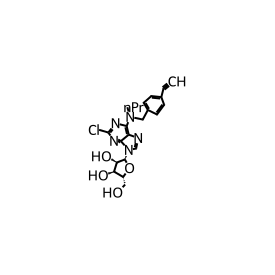 C#Cc1ccc(CN(CCC)c2nc(Cl)nc3c2ncn3[C@@H]2O[C@H](CO)[C@@H](O)[C@H]2O)cc1